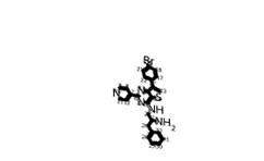 NC(CNc1nc(-c2ccncc2)nc2c(-c3ccc(Br)cc3)csc12)Cc1ccccc1